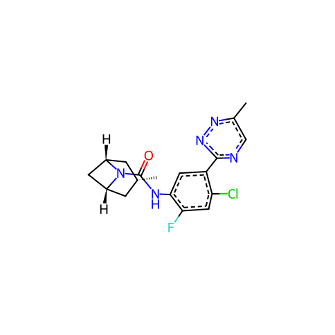 Cc1cnc(-c2cc(NC(=O)N3[C@@H]4C[C@@H](C)C[C@H]3C4)c(F)cc2Cl)nn1